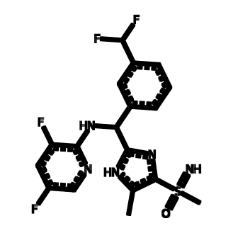 Cc1[nH]c(C(Nc2ncc(F)cc2F)c2cccc(C(F)F)c2)nc1S(C)(=N)=O